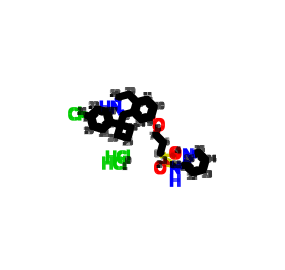 Cl.Cl.O=S(=O)(CCCOc1ccc2c(c1)C(C1(c3ccc(Cl)cc3)CCC1)NCC2)Nc1ccccn1